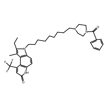 CCc1c(C)c2c3c(C(F)(F)F)cc(=O)[nH]c3ccc2n1CCCCCCCCCN1CCN(C(=O)c2ccccc2)CC1